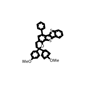 COc1ccc(C2(c3ccc(OC)cc3)C=Cc3cc(-c4ccccc4)c4c(sc5c6ccccc6sc54)c3O2)cc1